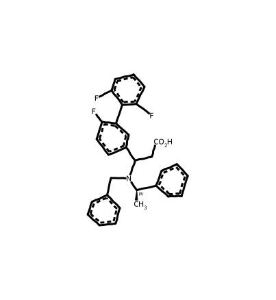 C[C@H](c1ccccc1)N(Cc1ccccc1)C(CC(=O)O)c1ccc(F)c(-c2c(F)cccc2F)c1